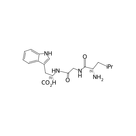 CC(C)C[C@H](N)C(=O)NCC(=O)N[C@@H](Cc1c[nH]c2ccccc12)C(=O)O